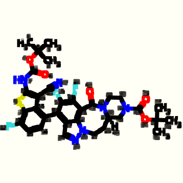 CC(C)(C)OC(=O)Nc1sc2c(F)ccc(-c3c(F)c(F)c4c5c3cnn5CC[C@@H]3CN(C(=O)OC(C)(C)C)CCN3C4=O)c2c1C#N